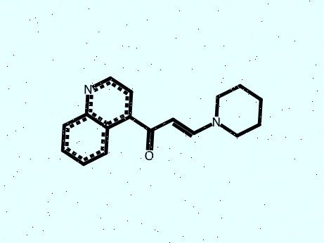 O=C(C=CN1CCCCC1)c1ccnc2ccccc12